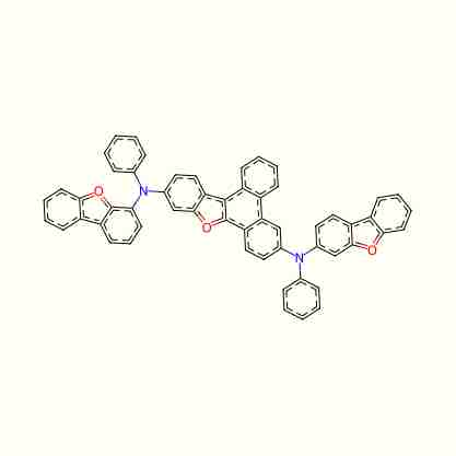 c1ccc(N(c2ccc3c(c2)oc2ccccc23)c2ccc3c(c2)c2ccccc2c2c4ccc(N(c5ccccc5)c5cccc6c5oc5ccccc56)cc4oc32)cc1